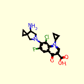 NC1CN(c2c(F)cc3c(=O)c(C(=O)O)cn(C4CC4)c3c2Cl)CC12CC2